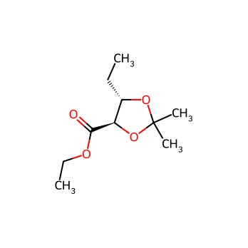 CCOC(=O)[C@@H]1OC(C)(C)O[C@H]1CC